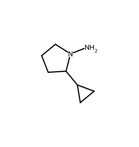 NN1CCCC1C1CC1